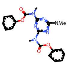 CNc1nc(N(C)C(=O)Oc2ccccc2)nc(N(C)C(=O)Oc2ccccc2)n1